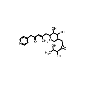 C/C(=C\C(=O)Cc1ccncc1)CC1OCC(CC2OC2C(C)C(C)O)C(O)C1O